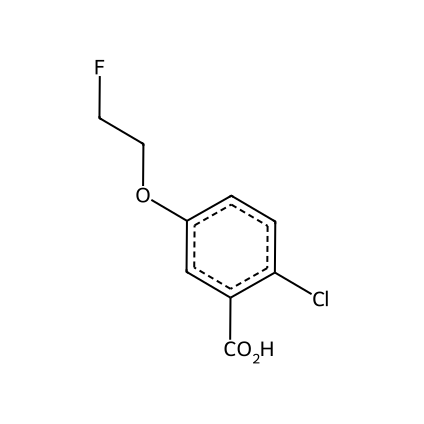 O=C(O)c1cc(OCCF)ccc1Cl